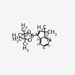 CC1(C)C=C(B2OC(C)(C)C(C)(C)O2)c2cccnc21